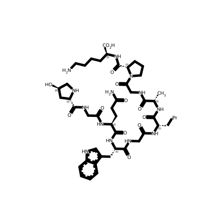 CC(C)C[C@H](NC(=O)CNC(=O)[C@H](Cc1c[nH]c2ccccc12)NC(=O)[C@H](CCC(N)=O)NC(=O)CNC(=O)[C@@H]1C[C@@H](O)CN1)C(=O)N[C@@H](C)C(=O)NCC(=O)N1CCC[C@H]1C(=O)N[C@@H](CCCCN)C(=O)O